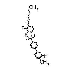 CCCCCOc1ccc(OC(=O)c2ccc(-c3ccc(C)c(F)c3)cc2)c(F)c1F